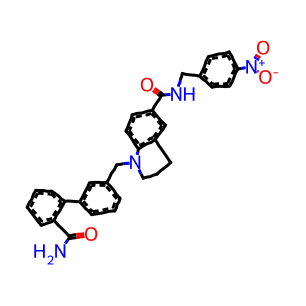 NC(=O)c1ccccc1-c1cccc(CN2CCCc3cc(C(=O)NCc4ccc([N+](=O)[O-])cc4)ccc32)c1